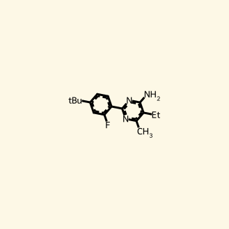 CCc1c(C)nc(-c2ccc(C(C)(C)C)cc2F)nc1N